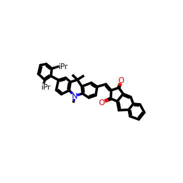 CC(C)c1cccc(C(C)C)c1-c1ccc2c(c1)C(C)(C)c1cc(C=C3C(=O)c4cc5ccccc5cc4C3=O)ccc1N2C